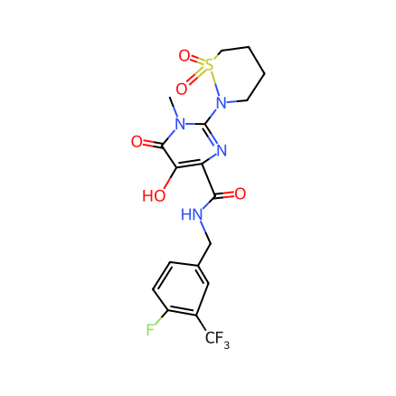 Cn1c(N2CCCCS2(=O)=O)nc(C(=O)NCc2ccc(F)c(C(F)(F)F)c2)c(O)c1=O